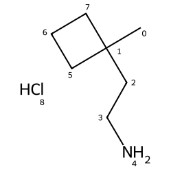 CC1(CCN)CCC1.Cl